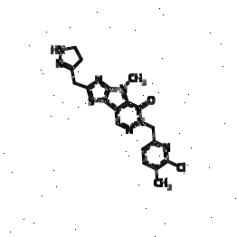 Cc1ccc(Cn2ncc3c4sc(CC5=NNCC5)nc4n(C)c3c2=O)nc1Cl